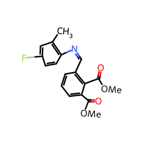 COC(=O)c1cccc(/C=N\c2ccc(F)cc2C)c1C(=O)OC